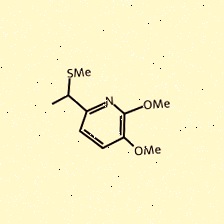 COc1ccc(C(C)SC)nc1OC